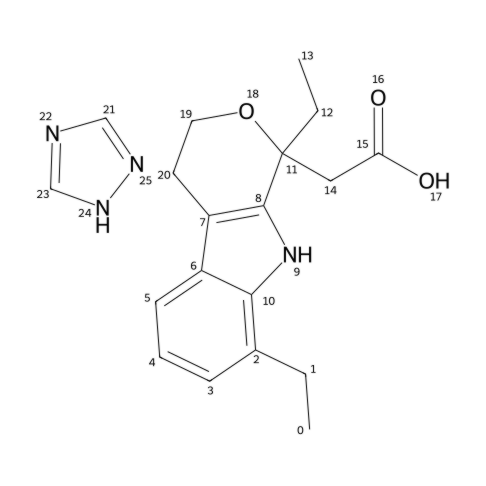 CCc1cccc2c3c([nH]c12)C(CC)(CC(=O)O)OCC3.c1nc[nH]n1